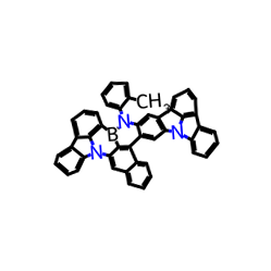 Cc1ccccc1N1B2c3c(cc4ccccc4c3-c3cc4c(cc31)c1cccc3c5ccccc5n4c31)-n1c3ccccc3c3cccc2c31